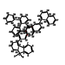 CC1(C)c2ccccc2-c2c(-c3ccc(N(c4cccc(-c5cccc6ccccc56)c4)c4cccc(-c5ccccc5)c4-c4ccccc4-c4ccccc4)cc3)cccc21